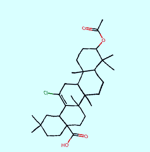 CC(=O)OC1CCC2(C)C(CCC3(C)C2CC(Cl)=C2C4CC(C)(C)CCC4(C(=O)O)CCC23C)C1(C)C